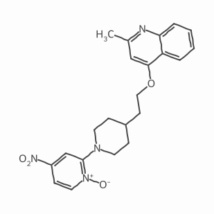 Cc1cc(OCCC2CCN(c3cc([N+](=O)[O-])cc[n+]3[O-])CC2)c2ccccc2n1